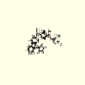 C[C@@H](O)CNc1ccc(Nc2ncc3c4ccncc4n(C4CCCC4)c3n2)nn1